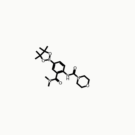 CN(C)C(=O)c1cc(B2OC(C)(C)C(C)(C)O2)ccc1NC(=O)N1CCOCC1